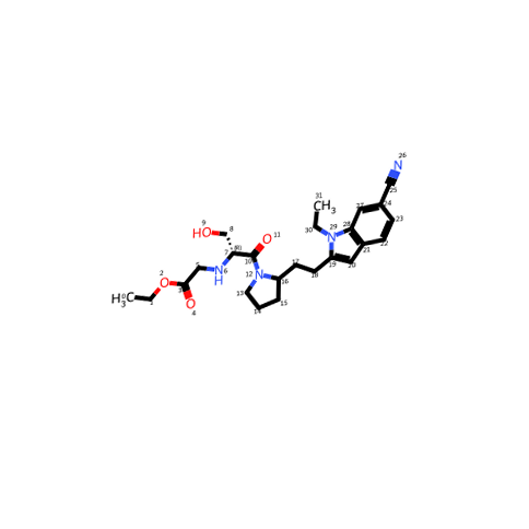 CCOC(=O)CN[C@H](CO)C(=O)N1CCCC1CCc1cc2ccc(C#N)cc2n1CC